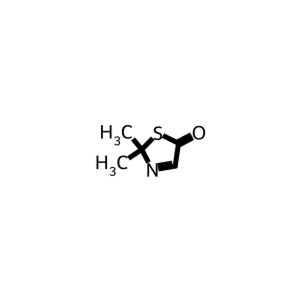 CC1(C)N=CC(=O)S1